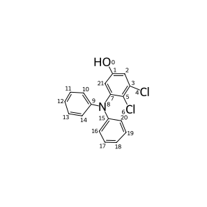 Oc1cc(Cl)c(Cl)c(N(c2ccccc2)c2ccccc2)c1